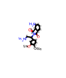 CCOc1cc(C(CN)N2C(=O)c3cccc(N)c3C2=O)ccc1OC